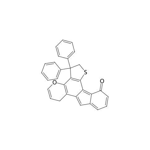 O=C1C=CC=C2C=c3c4c(c5c(c3=C12)SCC5(c1ccccc1)c1ccccc1)OC=CC4